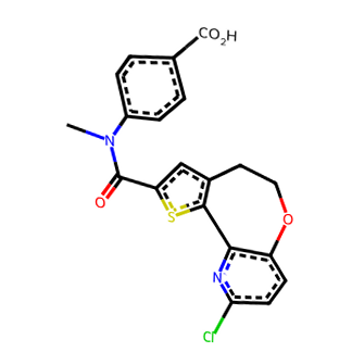 CN(C(=O)c1cc2c(s1)-c1nc(Cl)ccc1OCC2)c1ccc(C(=O)O)cc1